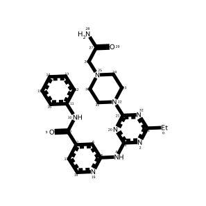 CCc1nc(Nc2cc(C(=O)Nc3ccccc3)ccn2)nc(N2CCN(CC(N)=O)CC2)n1